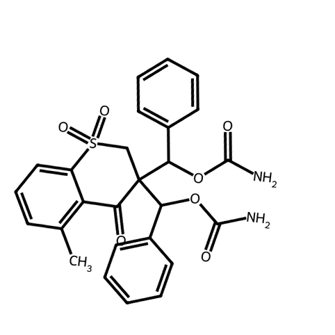 Cc1cccc2c1C(=O)C(C(OC(N)=O)c1ccccc1)(C(OC(N)=O)c1ccccc1)CS2(=O)=O